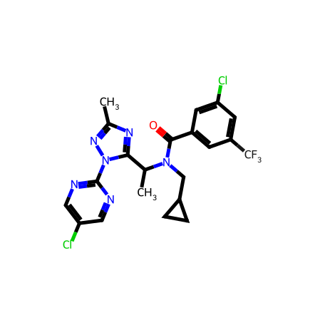 Cc1nc(C(C)N(CC2CC2)C(=O)c2cc(Cl)cc(C(F)(F)F)c2)n(-c2ncc(Cl)cn2)n1